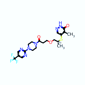 Cc1c(S[C@@H](C)COCCC(=O)N2CCN(c3ncc(C(F)(F)F)cn3)CC2)cn[nH]c1=O